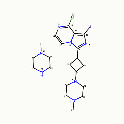 CN1CCN(C2CC(c3nc(I)c4c(Cl)nccn34)C2)CC1.CN1CCNCC1